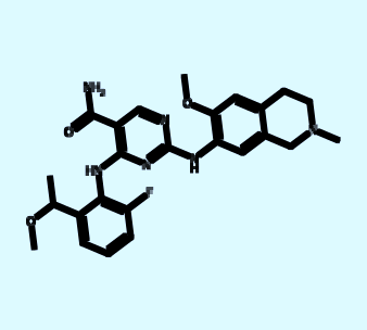 COc1cc2c(cc1Nc1ncc(C(N)=O)c(Nc3c(F)cccc3C(C)OC)n1)CN(C)CC2